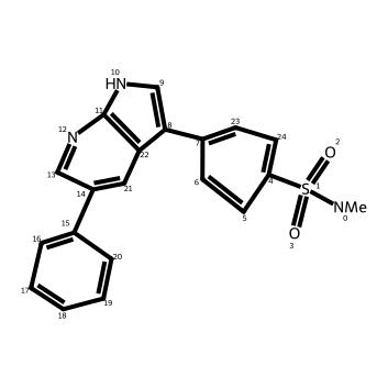 CNS(=O)(=O)c1ccc(-c2c[nH]c3ncc(-c4ccccc4)cc23)cc1